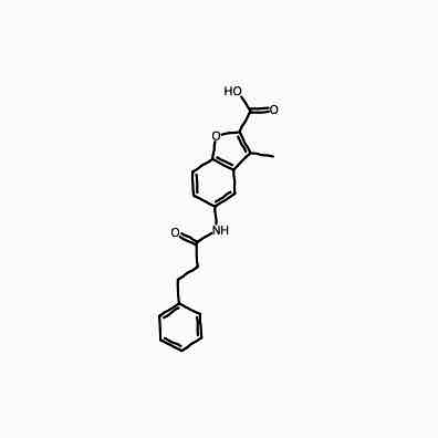 Cc1c(C(=O)O)oc2ccc(NC(=O)CCc3ccccc3)cc12